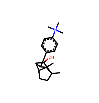 CC12CCC3C(C1O)C(c1ccc([N+](C)(C)C)cc1)C32C